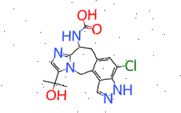 CC(C)(O)c1cnc2n1Cc1c(cc(Cl)c3[nH]ncc13)CC2NC(=O)O